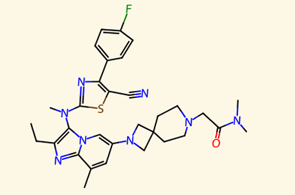 CCc1nc2c(C)cc(N3CC4(CCN(CC(=O)N(C)C)CC4)C3)cn2c1N(C)c1nc(-c2ccc(F)cc2)c(C#N)s1